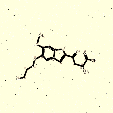 COc1cc2sc(C(=O)C[C@H](C)C(=O)O)cc2cc1OCCCBr